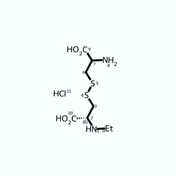 CCN[C@@H](CSSCC(N)C(=O)O)C(=O)O.Cl